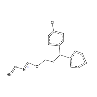 N=N/N=C/OCSC(c1ccccc1)c1ccc(Cl)cc1